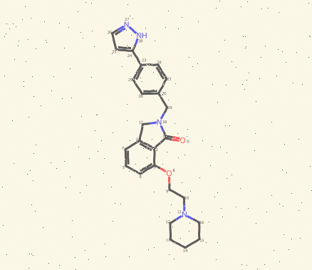 O=C1c2c(cccc2OCCN2CCCCC2)CN1Cc1ccc(-c2ccn[nH]2)cc1